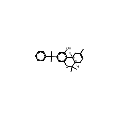 CC1=CC[C@@H]2[C@@H](C1)c1c(O)cc(C(C)(C)c3ccccc3)cc1OC2(C)C